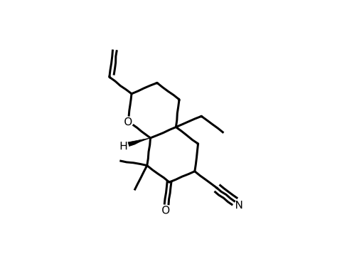 C=CC1CCC2(CC)CC(C#N)C(=O)C(C)(C)[C@@H]2O1